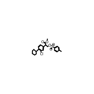 COC(=O)C(COS(=O)(=O)c1ccc(C)cc1)c1ccc(C2CCCCC2)c(Cl)c1